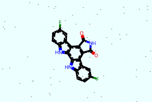 O=C1NC(=O)c2c1c1c3cc(F)ccc3[nH]c1c1[nH]c3ccc(F)cc3c21